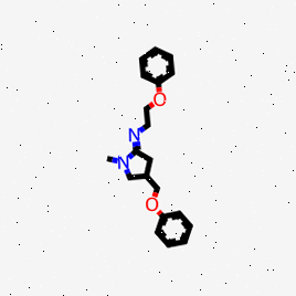 CN1CC(COc2ccccc2)CC1=NCCOc1ccccc1